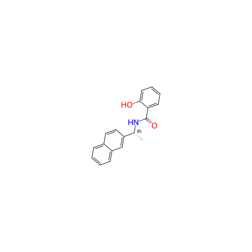 C[C@@H](NC(=O)c1ccccc1O)c1ccc2ccccc2c1